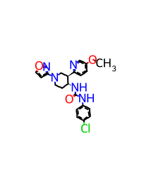 COc1ccc([C@@H]2CN(c3ccon3)CC[C@H]2NC(=O)Nc2ccc(Cl)cc2)nc1